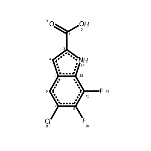 O=C(O)c1cc2cc(Cl)c(F)c(F)c2[nH]1